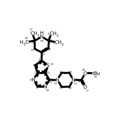 CC1(C)C=C(c2cc3ncnc(N4CCN(C(=O)OC(C)(C)C)CC4)c3s2)CC(C)(C)N1